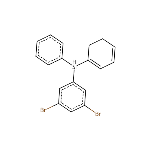 Brc1cc(Br)cc([SiH](C2=CC=CCC2)c2ccccc2)c1